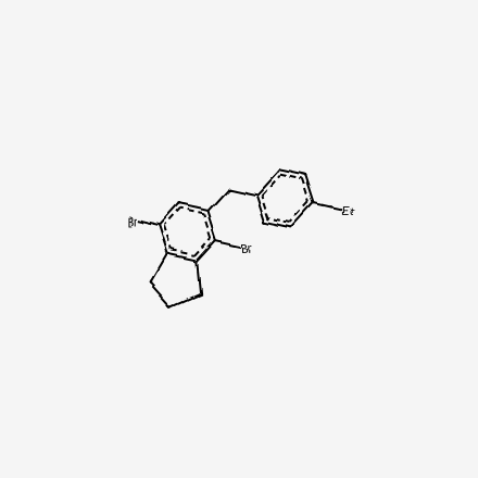 CCc1ccc(Cc2cc(Br)c3c(c2Br)CCC3)cc1